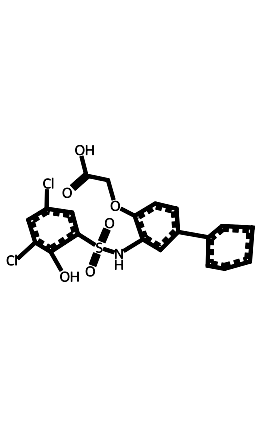 O=C(O)COc1ccc(-c2ccccc2)cc1NS(=O)(=O)c1cc(Cl)cc(Cl)c1O